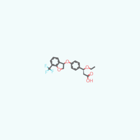 CCO[C@@H](CC(=O)O)c1ccc(OC2COc3c2cccc3C(F)(F)F)cc1